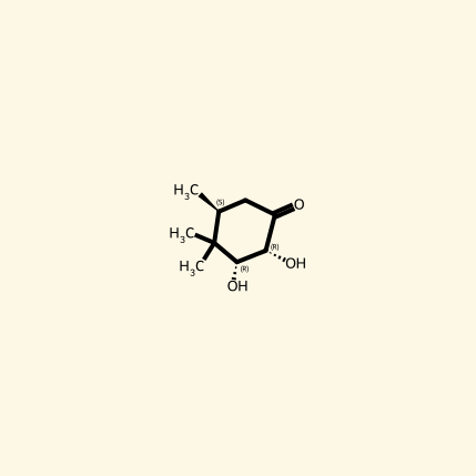 C[C@H]1CC(=O)[C@H](O)[C@H](O)C1(C)C